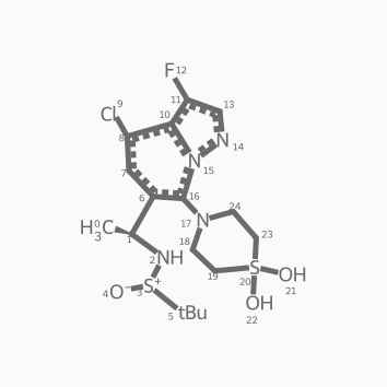 C[C@H](N[S+]([O-])C(C)(C)C)c1cc(Cl)c2c(F)cnn2c1N1CCS(O)(O)CC1